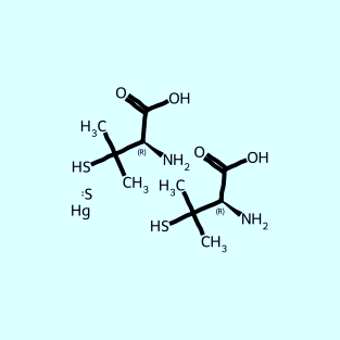 CC(C)(S)[C@H](N)C(=O)O.CC(C)(S)[C@H](N)C(=O)O.[Hg].[S]